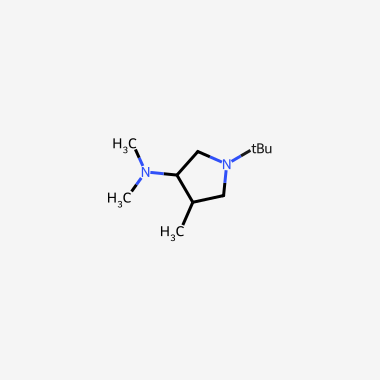 CC1CN(C(C)(C)C)CC1N(C)C